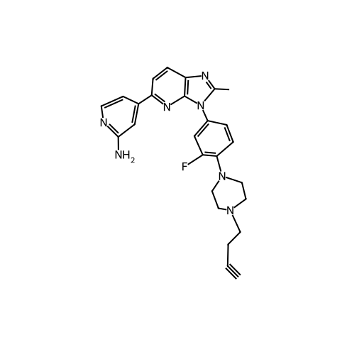 C#CCCN1CCN(c2ccc(-n3c(C)nc4ccc(-c5ccnc(N)c5)nc43)cc2F)CC1